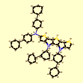 c1ccc(-c2ccc(N(c3ccc(-c4ccccc4)cc3)c3cc4c(s3)c3sc5c6sccc6n(-c6ccc(-c7ccccc7)cc6)c5c3n4-c3cccc(-c4ccccc4)c3)cc2)cc1